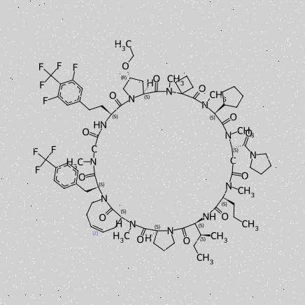 CCC[C@H]1C(=O)N[C@@H]([C@@H](C)CC)C(=O)N2CCC[C@H]2C(=O)N(C)[C@H]2C/C=C\CCN(C2=O)[C@@H](Cc2ccc(C(F)(F)F)cc2)C(=O)N(C)CC(=O)N[C@@H](CCc2cc(F)c(C(F)(F)F)c(F)c2)C(=O)N2C[C@H](OCC)C[C@H]2C(=O)N(C)C2(CCC2)C(=O)N(C)[C@@H](C2CCCC2)C(=O)N(C)[C@H](C(=O)N2CCCC2)CC(=O)N1C